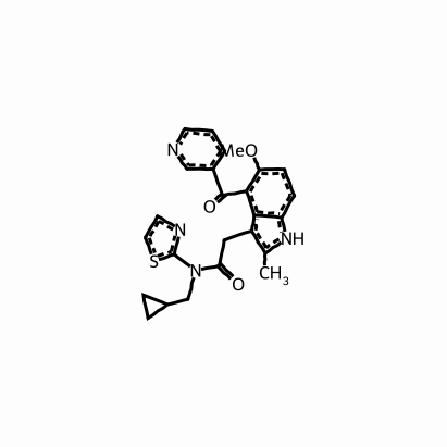 COc1ccc2[nH]c(C)c(CC(=O)N(CC3CC3)c3nccs3)c2c1C(=O)c1cccnc1